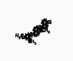 COc1ccc(CNc2ncnc3c(C(=O)Nc4c(C)ccc5c(Cl)nccc45)cccc23)c(OC)c1